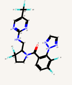 O=C(c1ccc(F)c(F)c1-n1nccn1)N1CCC(F)(F)C1CNc1ncc(C(F)(F)F)cn1